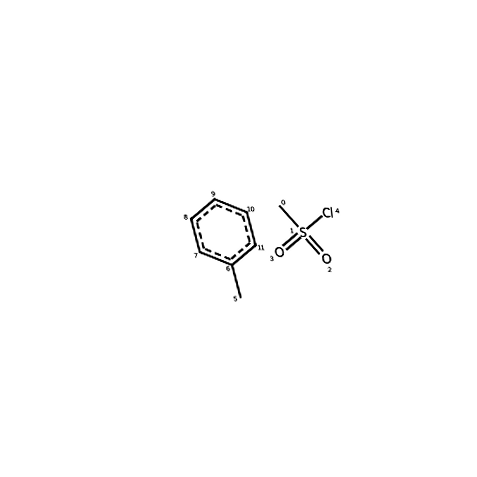 CS(=O)(=O)Cl.Cc1ccccc1